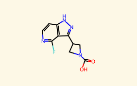 O=C(O)N1CC(c2n[nH]c3ccnc(F)c23)C1